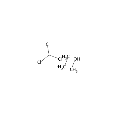 CO.ClC(Cl)Cl.[CH2]C